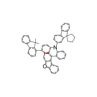 CC1(C)c2ccccc2-c2cccc(-c3ccc(N(c4ccc5c(c4)C4(CCCC4)c4ccccc4-5)c4ccccc4-c4cccc5oc6ccccc6c45)cc3)c21